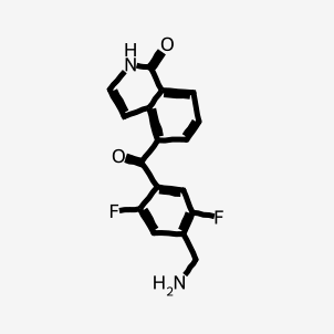 NCc1cc(F)c(C(=O)c2cccc3c(=O)[nH]ccc23)cc1F